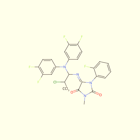 CN1C(=O)/C(=N\C(C(Cl)C(Cl)(Cl)Cl)N(c2ccc(F)c(F)c2)c2ccc(F)c(F)c2)N(c2ccccc2F)C1=O